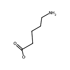 NCCCCC([O])=O